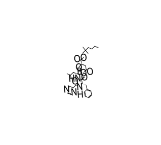 CCCCC(C)(C)COC(=O)[C@H]1CC(=O)OB([C@H](CC(C)C)NC(=O)[C@H](Cc2ccccc2)NC(=O)c2cnccn2)O1